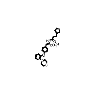 O=C(CCC1CCCC1)N/C(=C/c1ccc(Oc2ccccc2N2CCOCC2)cc1)C(=O)O